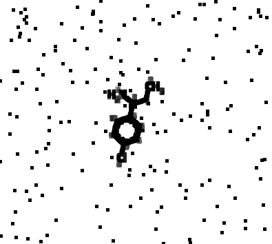 CCN(N)c1ccc(Cl)cc1